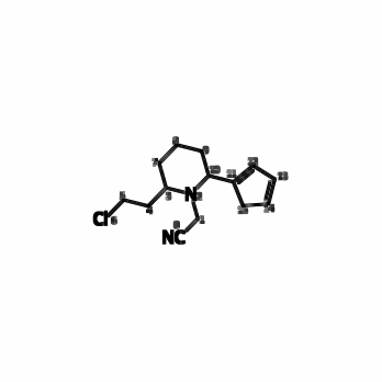 N#CCN1C(CCCl)CCCC1C1=CC=CC1